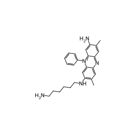 Cc1cc2nc3cc(C)c(NCCCCCCN)cc3[n+](-c3ccccc3)c2cc1N